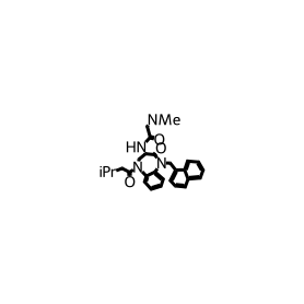 CNCC(=O)NC1CN(C(=O)CC(C)C)c2ccccc2N(Cc2cccc3ccccc23)C1=O